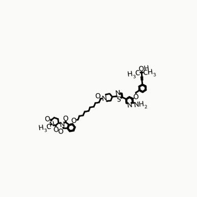 CN1C(=O)CCC(N2C(=O)c3cccc(OCCCCCCCCCC(=O)N4CCC(c5ncc(-c6cnc(N)c(OCc7cccc(C#CC(C)(C)O)c7)c6)s5)CC4)c3C2=O)C1=O